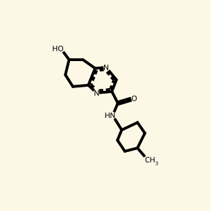 CC1CCC(NC(=O)c2cnc3c(n2)CCC(O)C3)CC1